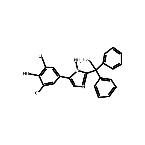 CC(c1ccccc1)(c1ccccc1)c1ncc(-c2cc(Cl)c(O)c(Cl)c2)n1N